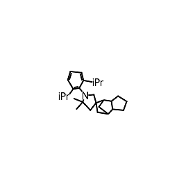 CC(C)c1cccc(C(C)C)c1N1CC2(CC3CC2C2CCCC32)CC1(C)C